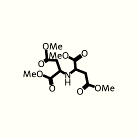 COC(=O)CC(NC(CC(=O)OC)C(=O)OC)C(=O)OC